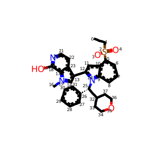 CCS(=O)(=O)c1cccc2c1cc(-c1cn(C)c3c(O)nccc13)n2[C@@H](c1ccccc1)C1CCOCC1